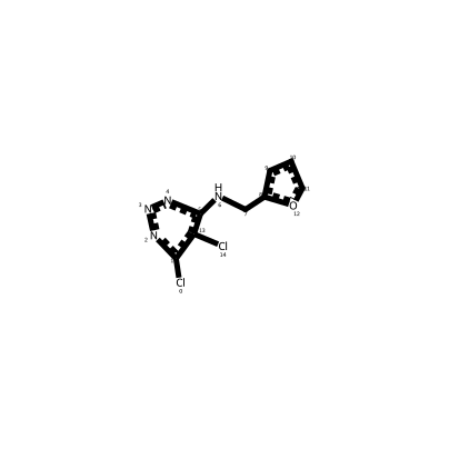 Clc1nnnc(NCc2ccco2)c1Cl